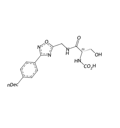 CCCCCCCCCCc1ccc(-c2noc(CNC(=O)[C@H](CO)NC(=O)O)n2)cc1